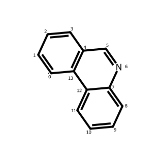 [c]1cccc2cnc3ccccc3c12